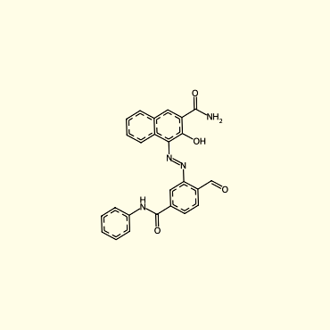 NC(=O)c1cc2ccccc2c(/N=N/c2cc(C(=O)Nc3ccccc3)ccc2C=O)c1O